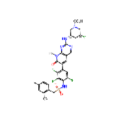 Cc1ccc(CS(=O)(=O)Nc2c(F)cc(-c3cc4cnc(N[C@H]5C[C@H](F)CN(C(=O)O)C5)nc4n(C(C)C)c3=O)c(F)c2F)c(C#N)c1